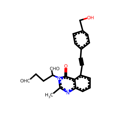 Cc1nc2cccc(C#Cc3ccc(CO)cc3)c2c(=O)n1C(C=O)CCC=O